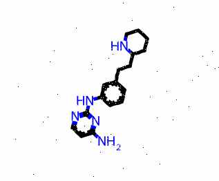 Nc1ccnc(Nc2cccc(CCC3CCCCN3)c2)n1